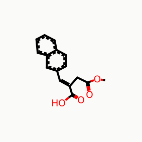 COC(=O)C/C(=C\c1ccc2ccccc2c1)C(=O)O